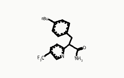 CC(C)(C)c1ccc(CC(C(N)=O)c2ccc(C(F)(F)F)cn2)cc1